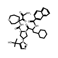 CC(C)(O)c1cnnn1[C@H]1C[C@@H](C(=O)N[C@]2(C(=O)C(N)=O)CCCOCC2)N(C(=O)C(CC2CCCCC2)NC(=O)c2ccc3ccccc3c2)C1